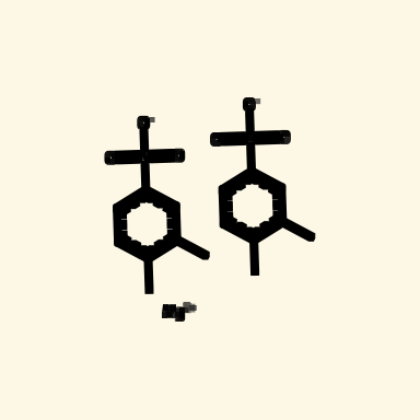 Cc1ccc(S(=O)(=O)[O-])cc1C.Cc1ccc(S(=O)(=O)[O-])cc1C.[Mg+2]